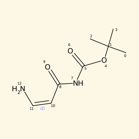 CC(C)(C)OC(=O)NC(=O)/C=C\N